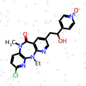 CCN1c2ncc(CC(O)c3cc[n+]([O-])cc3)cc2C(=O)N(C)c2ccc(Cl)nc21